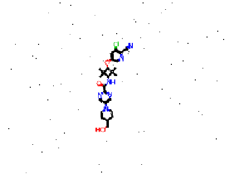 CC1(C)[C@H](NC(=O)c2ncc(N3CCC(CO)CC3)cn2)C(C)(C)[C@H]1Oc1cnc(C#N)c(Cl)c1